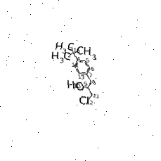 CC(C)(C)c1ccc(CC(O)CCl)cc1